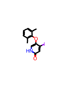 Cc1cccc(C)c1Oc1c[nH]c(=O)cc1I